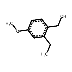 CCc1cc(OC)ccc1CO